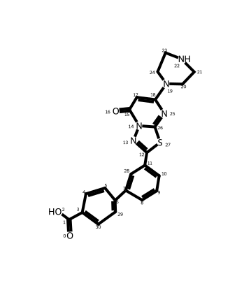 O=C(O)c1ccc(-c2cccc(-c3nn4c(=O)cc(N5CCNCC5)nc4s3)c2)cc1